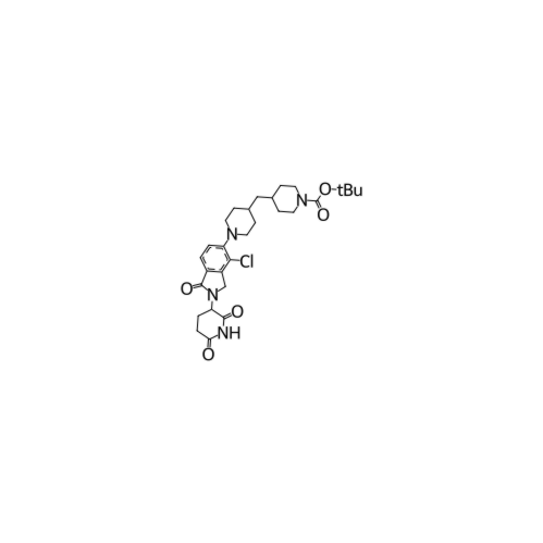 CC(C)(C)OC(=O)N1CCC(CC2CCN(c3ccc4c(c3Cl)CN(C3CCC(=O)NC3=O)C4=O)CC2)CC1